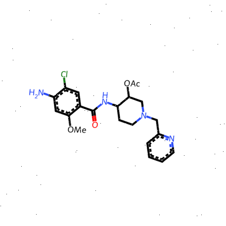 COc1cc(N)c(Cl)cc1C(=O)NC1CCN(Cc2ccccn2)CC1OC(C)=O